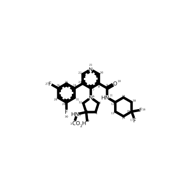 CC1(NC(=O)O)CCN(c2c(C(=O)NC3CCC(F)(F)CC3)cncc2-c2cc(F)cc(F)c2)C1